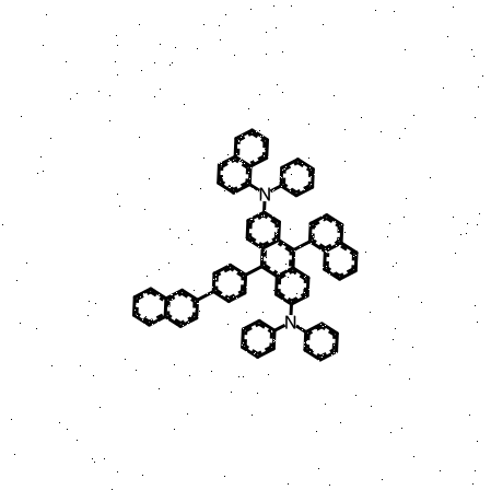 c1ccc(N(c2ccccc2)c2ccc3c(-c4cccc5ccccc45)c4cc(N(c5ccccc5)c5cccc6ccccc56)ccc4c(-c4ccc(-c5ccc6ccccc6c5)cc4)c3c2)cc1